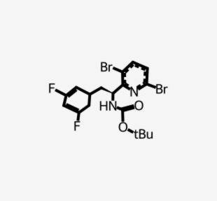 CC(C)(C)OC(=O)N[C@@H](CC1C=C(F)C=C(F)C1)c1nc(Br)ccc1Br